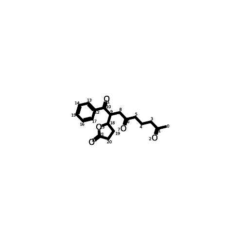 CC(=O)CCCC(=O)CC(C(=O)c1ccccc1)C1CCC(=O)O1